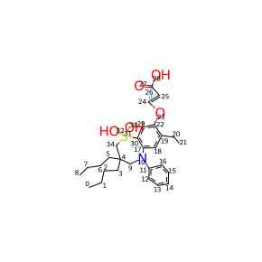 CCCCC1(CCCC)CN(c2ccccc2)c2cc(CC)c(O/C=C/C(=O)O)cc2S(O)(O)C1